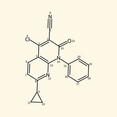 N#Cc1c(Cl)c2ccc(C3CC3)nc2n(-c2ccccc2)c1=O